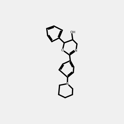 OC1CN=C(c2ccc(N3CCCCC3)cc2)OC1c1ccccc1